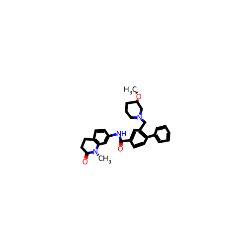 COC1CCCN(Cc2cc(C(=O)Nc3ccc4c(c3)N(C)C(=O)CC4)ccc2-c2ccccc2)C1